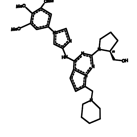 COc1cc(-n2cnc(Nc3nc(N4CCC[C@H]4CO)nn4c(CN5CCCCC5)ccc34)c2)cc(OC)c1OC